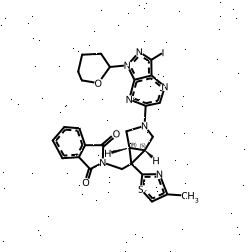 Cc1csc(C2(CN3C(=O)c4ccccc4C3=O)[C@@H]3CN(c4cnc5c(I)nn(C6CCCCO6)c5n4)C[C@@H]32)n1